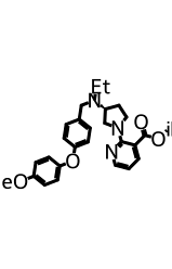 CCN(Cc1ccc(Oc2ccc(OC)cc2)cc1)[C@H]1CCN(c2ncccc2C(=O)OC(C)C)C1